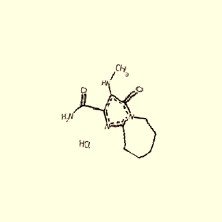 CNc1c(C(N)=O)nc2n(c1=O)CCCCC2.Cl